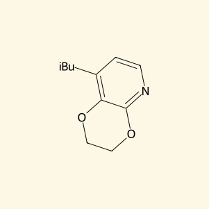 CCC(C)c1ccnc2c1OCCO2